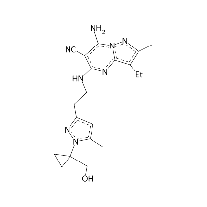 CCc1c(C)nn2c(N)c(C#N)c(NCCc3cc(C)n(C4(CO)CC4)n3)nc12